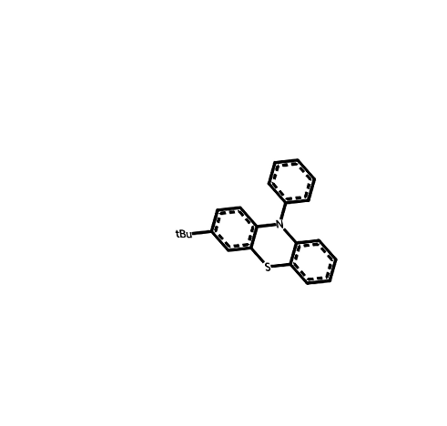 CC(C)(C)c1ccc2c(c1)Sc1ccccc1N2c1ccccc1